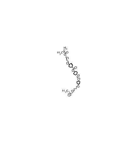 C=C(C)C(=O)OCCOCCOc1ccc(C(=O)Oc2ccc(OCOc3ccc(OCCCCOCC4(CC)COC4)cc3)cc2)cc1